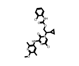 COc1nc(C)c(Nc2nc(Cl)cn(C(COC(=O)Nc3ccccc3Cl)C3CC3)c2=O)cc1C